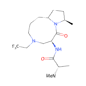 CN[C@@H](C)C(=O)N[C@H]1CN(CC(F)(F)F)CCCC2CC[C@@H](C)N2C1=O